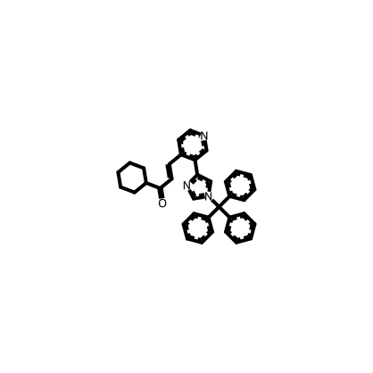 O=C(C=Cc1ccncc1-c1cn(C(c2ccccc2)(c2ccccc2)c2ccccc2)cn1)C1CCCCC1